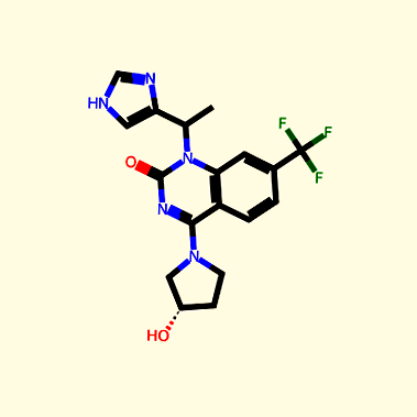 CC(c1c[nH]cn1)n1c(=O)nc(N2CC[C@H](O)C2)c2ccc(C(F)(F)F)cc21